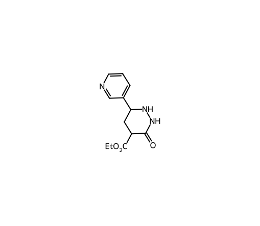 CCOC(=O)C1CC(c2cccnc2)NNC1=O